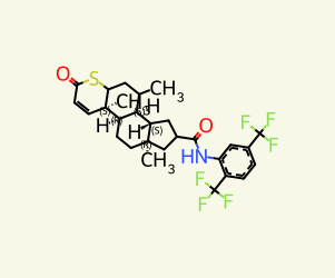 CC1CC2SC(=O)C=C[C@]2(C)[C@@H]2CC[C@]3(C)CC(C(=O)Nc4cc(C(F)(F)F)ccc4C(F)(F)F)C[C@H]3[C@H]12